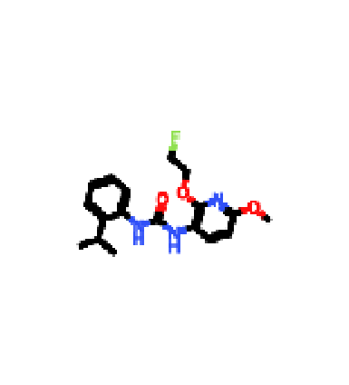 COc1ccc(NC(=O)Nc2ccccc2C(C)C)c(OCCF)n1